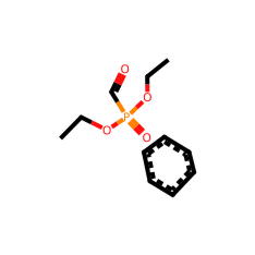 CCOP(=O)(C=O)OCC.c1ccccc1